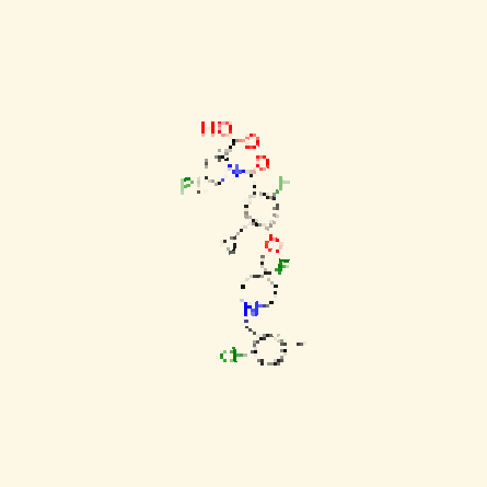 Cc1ccc(Cl)c(CN2CCC(F)(COc3cc(F)c(C(=O)N4C[C@H](F)C[C@H]4C(=O)O)cc3C3CC3)CC2)c1